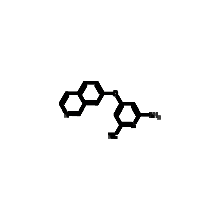 N#Cc1cc(Oc2ccc3ccncc3c2)cc(N)n1